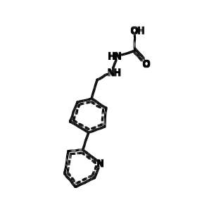 O=C(O)NNCc1ccc(-c2ccccn2)cc1